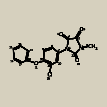 CN1C(=O)C(=O)N(c2ccc(Oc3ccccc3)c(Cl)c2)C1=O